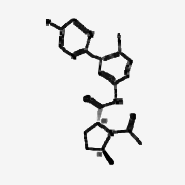 CC(=O)N1[C@@H](C(=O)Nc2ccc(C)c(-c3ncc(F)cn3)c2)CC[C@@H]1C